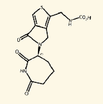 O=C(O)NCc1scc2c1CN([C@H]1CCCC(=O)NC1=O)C2=O